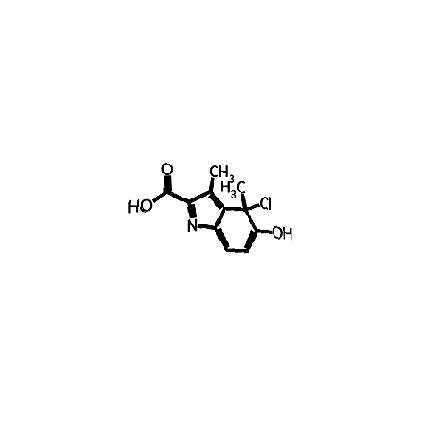 CC1=C2C(=CC=C(O)C2(C)Cl)N=C1C(=O)O